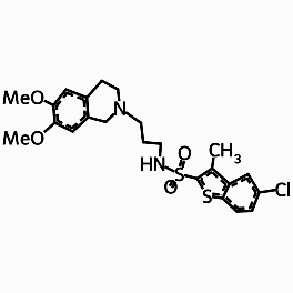 COc1cc2c(cc1OC)CN(CCCNS(=O)(=O)c1sc3ccc(Cl)cc3c1C)CC2